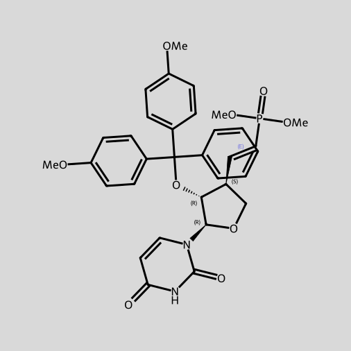 COc1ccc(C(O[C@H]2[C@H](n3ccc(=O)[nH]c3=O)OC[C@@H]2/C=C/P(=O)(OC)OC)(c2ccccc2)c2ccc(OC)cc2)cc1